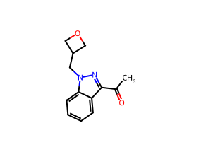 CC(=O)c1nn(CC2COC2)c2ccccc12